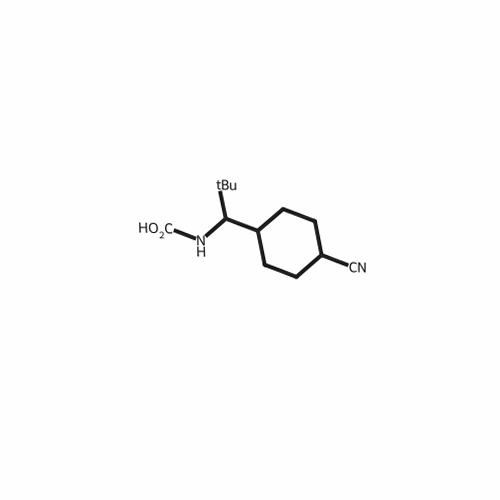 CC(C)(C)C(NC(=O)O)C1CCC(C#N)CC1